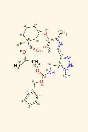 Cc1nc(-c2nnn(C)c2CNC(=O)OCc2ccccc2)ccc1O[C@H]1CCC[C@](F)(C(=O)OC(C)C)C1